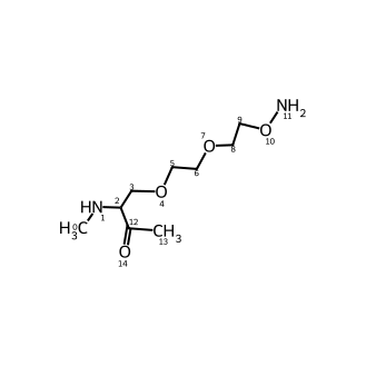 CNC(COCCOCCON)C(C)=O